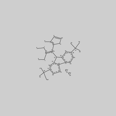 CC[Si](CC)=[Hf+2]([C]1=C(C)C=CC1)[CH]1c2cc(C(C)(C)C)ccc2-c2ccc(C(C)(C)C)cc21.[Cl-].[Cl-]